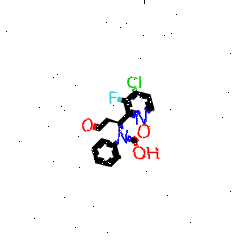 O=CC[C@@H](c1nccc(Cl)c1F)N(C(=O)O)c1ccccc1